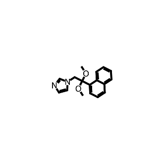 COC(Cn1ccnc1)(OC)c1cccc2ccccc12